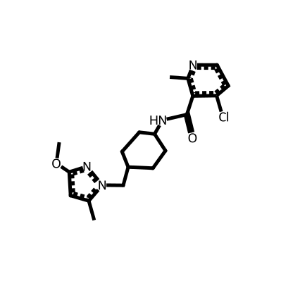 COc1cc(C)n(CC2CCC(NC(=O)c3c(Cl)ccnc3C)CC2)n1